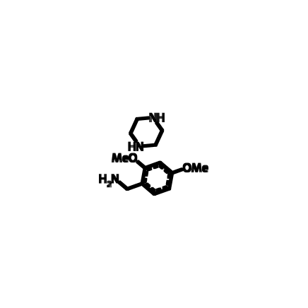 C1CNCCN1.COc1ccc(CN)c(OC)c1